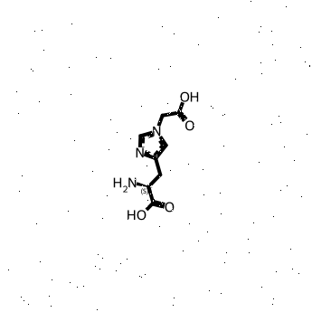 N[C@@H](Cc1cn(CC(=O)O)cn1)C(=O)O